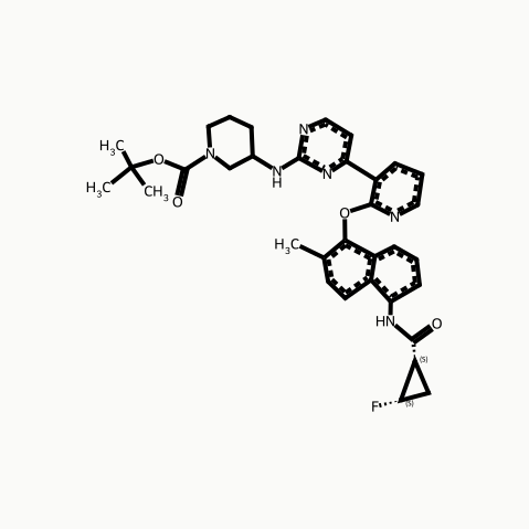 Cc1ccc2c(NC(=O)[C@@H]3C[C@@H]3F)cccc2c1Oc1ncccc1-c1ccnc(NC2CCCN(C(=O)OC(C)(C)C)C2)n1